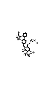 CCCCc1cc(O)c([N+](=O)[O-])c(=O)n1Cc1ccc(-c2ccccc2-c2nnn[nH]2)cc1